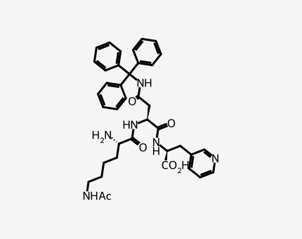 CC(=O)NCCCC[C@H](N)C(=O)N[C@@H](CC(=O)NC(c1ccccc1)(c1ccccc1)c1ccccc1)C(=O)N[C@@H](Cc1cccnc1)C(=O)O